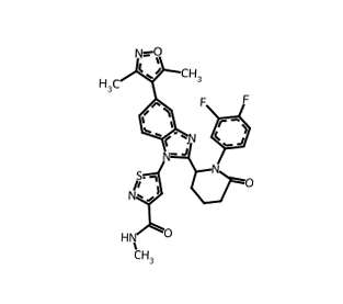 CNC(=O)c1cc(-n2c(C3CCCC(=O)N3c3ccc(F)c(F)c3)nc3cc(-c4c(C)noc4C)ccc32)sn1